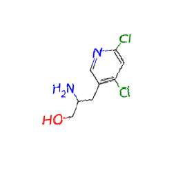 NC(CO)Cc1cnc(Cl)cc1Cl